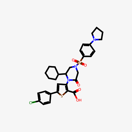 O=C(O)c1sc(-c2ccc(Cl)cc2)cc1N1C(=O)CN(S(=O)(=O)c2ccc(N3CCCC3)cc2)CC1C1CCCCC1